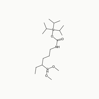 CCC(CCCNC(=O)O[Si](C(C)C)(C(C)C)C(C)C)[SiH](OC)OC